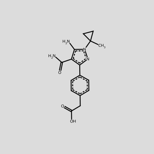 CC1(n2nc(-c3ccc(CC(=O)O)cc3)c(C(N)=O)c2N)CC1